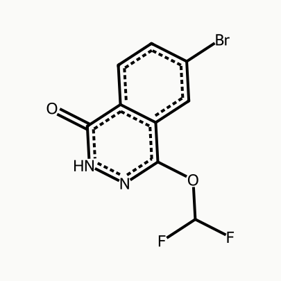 O=c1[nH]nc(OC(F)F)c2cc(Br)ccc12